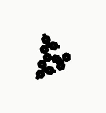 Cc1ccc(N(c2ccc(C)cc2)c2cccc(-c3cc(-c4cccc(N(c5ccc(C)cc5)c5ccc(C)cc5)c4)cc(-c4ccc5c(c4)c4ccccc4n5-c4ccccc4)c3)c2)cc1